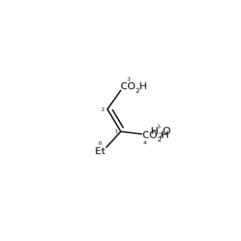 CC/C(=C/C(=O)O)C(=O)O.O